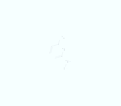 CCNc1cccc(C#N)n1